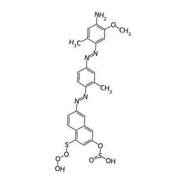 COc1cc(N=Nc2ccc(N=Nc3ccc4c(SOOO)cc(OS(=O)O)cc4c3)c(C)c2)c(C)cc1N